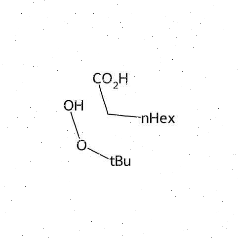 CC(C)(C)OO.CCCCCCCC(=O)O